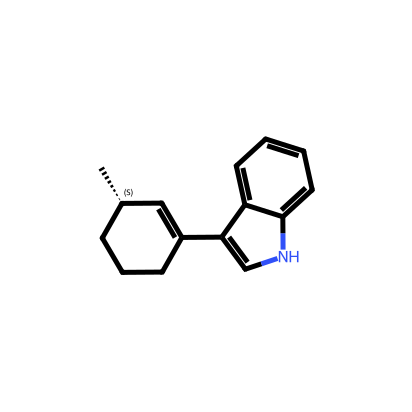 C[C@@H]1C=C(c2c[nH]c3ccccc23)CCC1